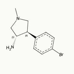 CN1C[C@@H](N)[C@H](c2ccc(Br)cc2)C1